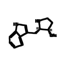 CC(=O)O[C@@H]1CCN[C@@H]1Cc1c[nH]c2ccccc12